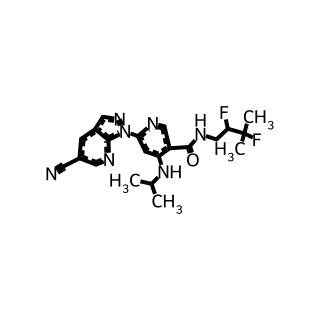 CC(C)Nc1cc(-n2ncc3cc(C#N)cnc32)ncc1C(=O)NCC(F)C(C)(C)F